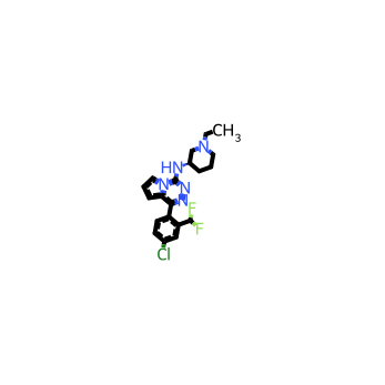 CCN1CCC[C@@H](Nc2nnc(-c3ccc(Cl)cc3C(F)F)c3cccn23)C1